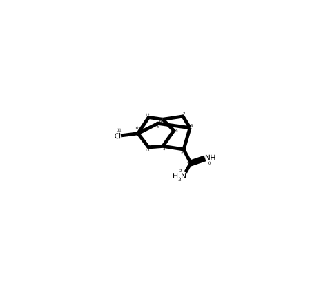 N=C(N)C1C2CC3CC1CC(Cl)(C3)C2